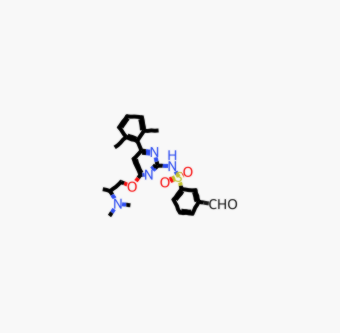 Cc1cccc(C)c1-c1cc(OCC(C)N(C)C)nc(NS(=O)(=O)c2cccc(C=O)c2)n1